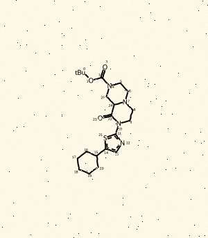 CC(C)(C)OC(=O)N1CCN2CCN(c3ncc(C4CCCCC4)s3)C(=O)C2C1